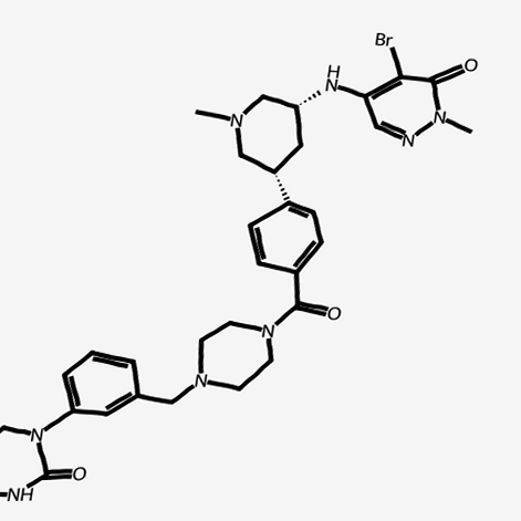 CN1C[C@H](Nc2cnn(C)c(=O)c2Br)C[C@H](c2ccc(C(=O)N3CCN(Cc4cccc(N5CCC(=O)NC5=O)c4)CC3)cc2)C1